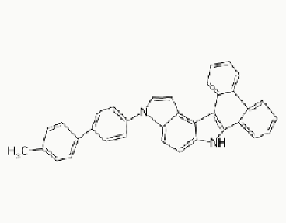 Cc1ccc(-c2ccc(-n3ccc4c5c(ccc43)[nH]c3c4ccccc4c4ccccc4c35)cc2)cc1